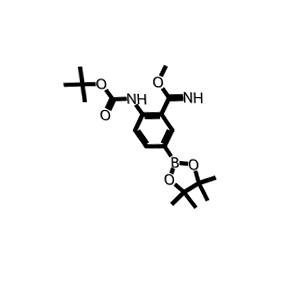 COC(=N)c1cc(B2OC(C)(C)C(C)(C)O2)ccc1NC(=O)OC(C)(C)C